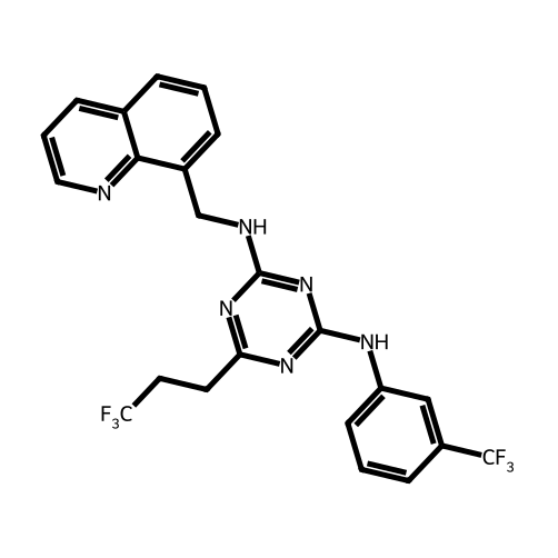 FC(F)(F)CCc1nc(NCc2cccc3cccnc23)nc(Nc2cccc(C(F)(F)F)c2)n1